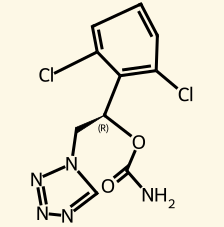 NC(=O)O[C@@H](Cn1cnnn1)c1c(Cl)cccc1Cl